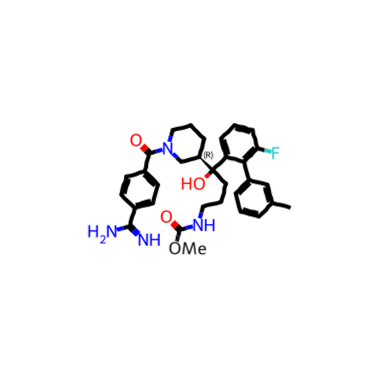 COC(=O)NCCCC(O)(c1cccc(F)c1-c1cccc(C)c1)[C@@H]1CCCN(C(=O)c2ccc(C(=N)N)cc2)C1